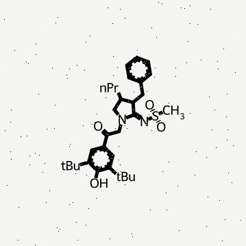 CCCC1CN(CC(=O)c2cc(C(C)(C)C)c(O)c(C(C)(C)C)c2)C(=NS(C)(=O)=O)C1Cc1ccccc1